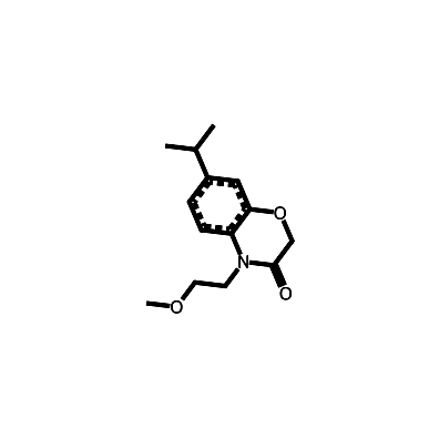 COCCN1C(=O)COc2cc(C(C)C)ccc21